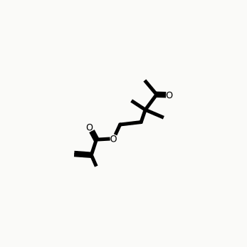 C=C(C)C(=O)OCCC(C)(C)C(C)=O